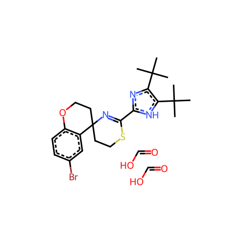 CC(C)(C)c1nc(C2=NC3(CCOc4ccc(Br)cc43)CCS2)[nH]c1C(C)(C)C.O=CO.O=CO